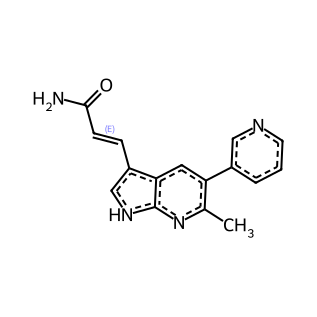 Cc1nc2[nH]cc(/C=C/C(N)=O)c2cc1-c1cccnc1